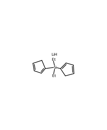 CC[Si](CC)(C1=CC=CC1)C1=CC=CC1.[LiH]